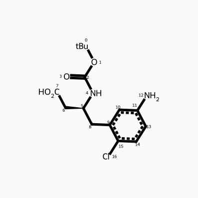 CC(C)(C)OC(=O)N[C@H](CC(=O)O)Cc1cc(N)ccc1Cl